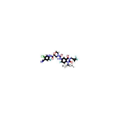 CC(C)n1c(=O)n(CC2CC2(F)F)c(=O)c2cc(NC(=O)N3CCO[C@@H](C(=O)Nc4cc(Cl)c(C#N)cc4F)C3)c(F)cc21